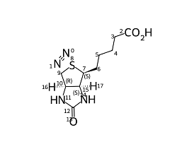 N#N.O=C(O)CCCC[C@@H]1SC[C@@H]2NC(=O)N[C@@H]21